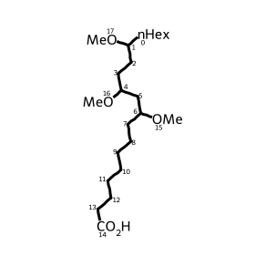 CCCCCCC(CCC(CC(CCCCCCCC(=O)O)OC)OC)OC